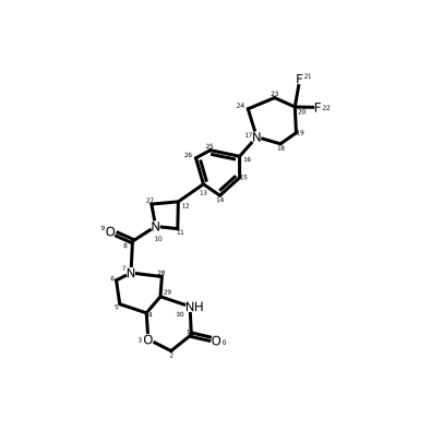 O=C1COC2CCN(C(=O)N3CC(c4ccc(N5CCC(F)(F)CC5)cc4)C3)CC2N1